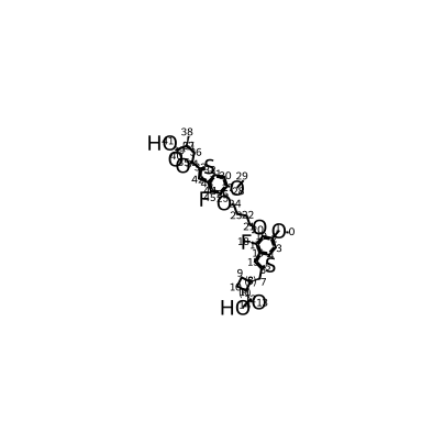 COc1cc2sc(C[C@@H]3CC[C@H]3C(=O)O)cc2c(F)c1OCCCCOc1c(OC)cc2sc(C(=O)C[C@H](C)C(=O)O)cc2c1F